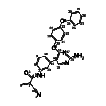 C=C(C#N)C(=O)Nc1cccc(-c2cnc(N)nc2Oc2ccc(Oc3ccccc3)cc2)c1